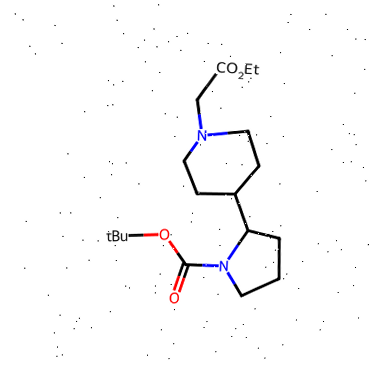 CCOC(=O)CN1CCC(C2CCCN2C(=O)OC(C)(C)C)CC1